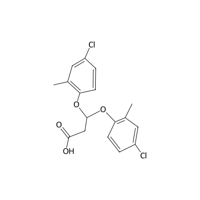 Cc1cc(Cl)ccc1OC(CC(=O)O)Oc1ccc(Cl)cc1C